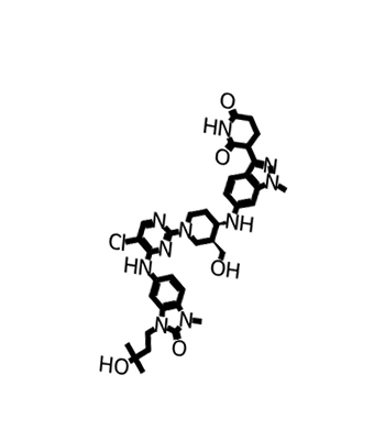 Cn1nc(C2CCC(=O)NC2=O)c2ccc(N[C@@H]3CCN(c4ncc(Cl)c(Nc5ccc6c(c5)n(CCC(C)(C)O)c(=O)n6C)n4)C[C@@H]3CO)cc21